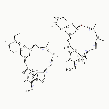 CC1=C[C@H]2C(=O)O[C@H]3C[C@@H](C/C=C(\C)C[C@@H](C)/C=C/C=C4\CO[C@H](/C1=N/O)[C@@]42O)O[C@@]1(CC[C@H](C)[C@@H](C)O1)C3.CC[C@H]1O[C@]2(CC[C@@H]1C)C[C@@H]1C[C@@H](C/C=C(\C)C[C@@H](C)/C=C/C=C3\CO[C@@H]4/C(=N/O)C(C)=C[C@@H](C(=O)O1)[C@]34O)O2